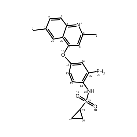 Cc1ccc2nc(C)cc(Oc3ccc(NS(=O)(=O)C4CC4)c(P)c3)c2c1